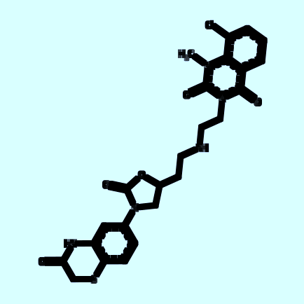 Cn1c(=O)n(CCNCCC2CN(c3ccc4c(c3)NC(=O)CS4)C(=O)O2)c(=O)c2cccc(Cl)c21